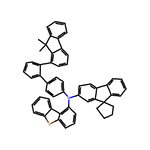 CC1(C)c2ccccc2-c2cccc(-c3ccccc3-c3ccc(N(c4ccc5c(c4)C4(CCCC4)c4ccccc4-5)c4cccc5sc6ccccc6c45)cc3)c21